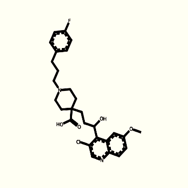 COc1ccc2ncc(Cl)c(C(O)CCC3(C(=O)O)CCN(CCCc4ccc(F)cc4)CC3)c2c1